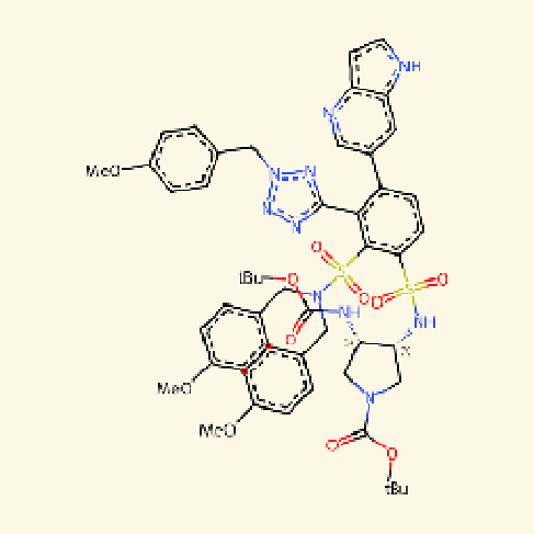 COc1ccc(CN(Cc2ccc(OC)cc2)S(=O)(=O)c2c(S(=O)(=O)N[C@@H]3CN(C(=O)OC(C)(C)C)C[C@@H]3NC(=O)OC(C)(C)C)ccc(-c3cnc4cc[nH]c4c3)c2-c2nnn(Cc3ccc(OC)cc3)n2)cc1